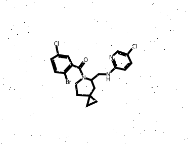 O=C(c1cc(Cl)ccc1Br)N1CCC2(CC2)CC1CNc1ccc(Cl)cn1